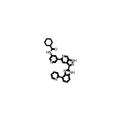 O=C(Nc1cncc(-c2cc3c(-c4nc5c(-c6ccccn6)cccc5[nH]4)n[nH]c3cn2)c1)C1CCCCC1